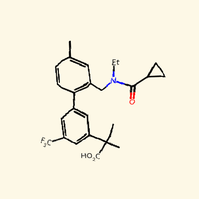 CCN(Cc1cc(C)ccc1-c1cc(C(F)(F)F)cc(C(C)(C)C(=O)O)c1)C(=O)C1CC1